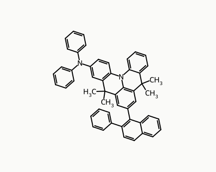 CC1(C)c2ccccc2N2c3ccc(N(c4ccccc4)c4ccccc4)cc3C(C)(C)c3cc(-c4c(-c5ccccc5)ccc5ccccc45)cc1c32